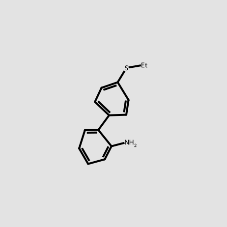 CCSc1ccc(-c2ccccc2N)cc1